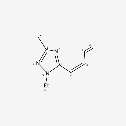 C=C/C=C\c1nc(C)nn1CC